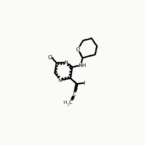 C=C=C(I)c1ncc(Cl)nc1NC1CCCCO1